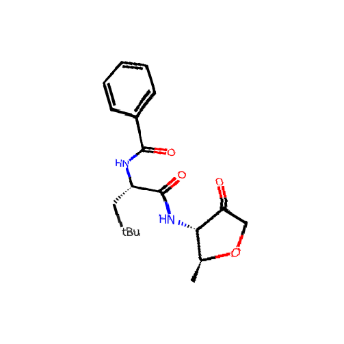 C[C@@H]1OCC(=O)[C@H]1NC(=O)[C@H](CC(C)(C)C)NC(=O)c1ccccc1